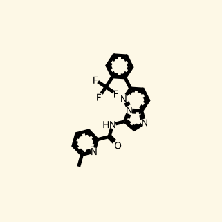 Cc1cccc(C(=O)Nc2cnc3ccc(-c4ccccc4C(F)(F)F)nn23)n1